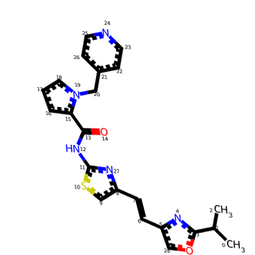 CC(C)c1nc(C=Cc2csc(NC(=O)c3cccn3Cc3ccncc3)n2)co1